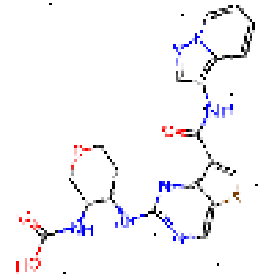 O=C(O)N[C@H]1COCC[C@H]1Nc1ncc2scc(C(=O)Nc3cnn4ccccc34)c2n1